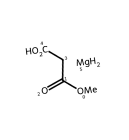 COC(=O)CC(=O)O.[MgH2]